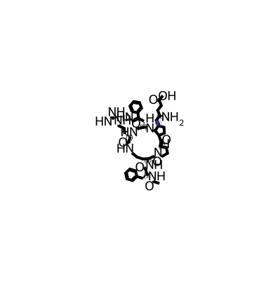 CC(=O)N[C@@H](Cc1ccccc1)C(=O)N[C@H]1CCCNC(=O)[C@H](CCCNC(=N)N)NC(=O)[C@H](Cc2c[nH]c3ccccc23)NC2/C(=C/[C@H](N)CCC(=O)O)CCC2C(=O)[C@@H]2CCCN2C1=O